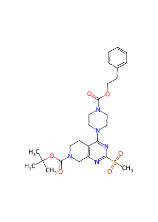 CC(C)(C)OC(=O)N1CCc2c(nc(S(C)(=O)=O)nc2N2CCN(C(=O)OCCc3ccccc3)CC2)C1